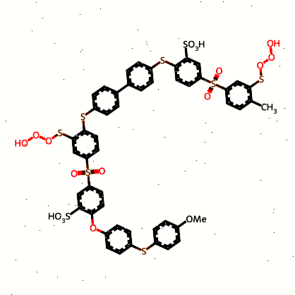 COc1ccc(Sc2ccc(Oc3ccc(S(=O)(=O)c4ccc(Sc5ccc(-c6ccc(Sc7ccc(S(=O)(=O)c8ccc(C)c(SOOO)c8)cc7S(=O)(=O)O)cc6)cc5)c(SOOO)c4)cc3S(=O)(=O)O)cc2)cc1